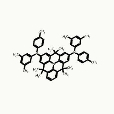 Cc1ccc(N(c2cc(C)cc(C)c2)c2cc3c4c(c2)C(C)(C)c2cc(N(c5ccc(C)cc5)c5cc(C)cc(C)c5)cc5c2N4c2c(cccc2C5(C)C)C3(C)C)cc1